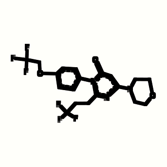 O=c1cc(N2CCOCC2)nc(CCC(F)(F)F)n1-c1ccc(OCC(F)(F)F)cc1